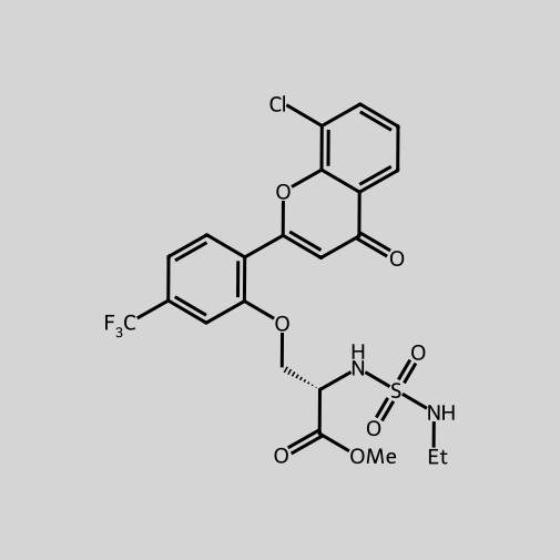 CCNS(=O)(=O)N[C@@H](COc1cc(C(F)(F)F)ccc1-c1cc(=O)c2cccc(Cl)c2o1)C(=O)OC